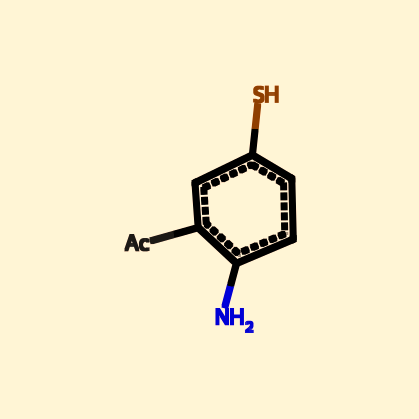 CC(=O)c1cc(S)ccc1N